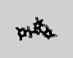 Cc1cc(C)nc(NC(=O)c2nn(-c3ccc(F)cc3F)c3c2C[C@@H]2C[C@H]32)c1